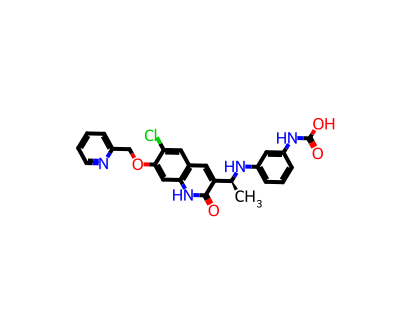 C[C@H](Nc1cccc(NC(=O)O)c1)c1cc2cc(Cl)c(OCc3ccccn3)cc2[nH]c1=O